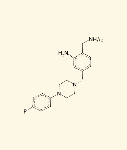 CC(=O)NCc1ccc(CN2CCN(c3ccc(F)cc3)CC2)cc1N